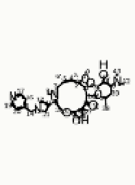 CO[C@]1(C)C[C@@H](C)CN(C)[C@H](C2CN(Cc3ccncc3)C2)COC(O)C(C)(C)C(=O)[C@H](C)[C@H]1O[C@@H]1O[C@H](C)C[C@H](N(C)C)[C@H]1O